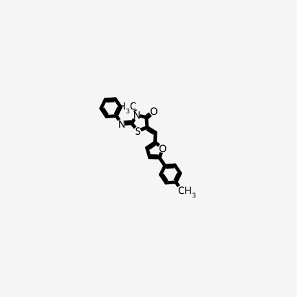 Cc1ccc(-c2ccc(/C=C3\S/C(=N/c4ccccc4)N(C)C3=O)o2)cc1